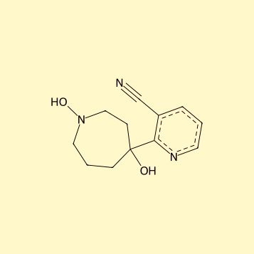 N#Cc1cccnc1C1(O)CCCN(O)CC1